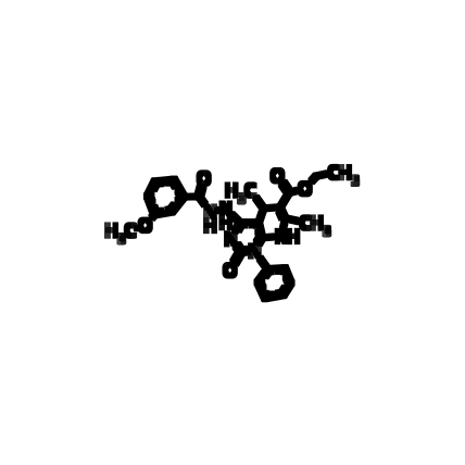 CCOC(=O)C1=C(C)Nc2c(c(NNC(=O)c3cccc(OC)c3)nc(=O)n2-c2ccccc2)C1C